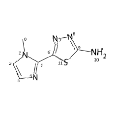 Cn1ccnc1-c1nnc(N)s1